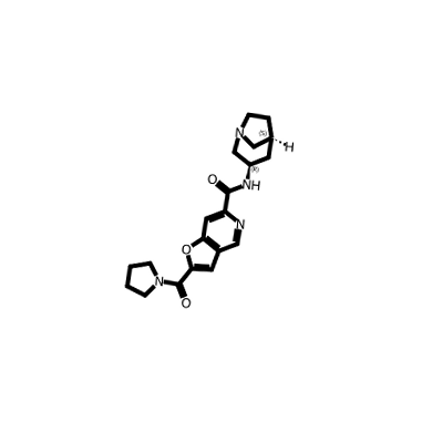 O=C(N[C@@H]1C[C@@H]2CCN(C2)C1)c1cc2oc(C(=O)N3CCCC3)cc2cn1